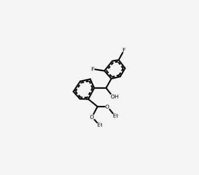 CCOC(OCC)c1ccccc1C(O)c1ccc(F)cc1F